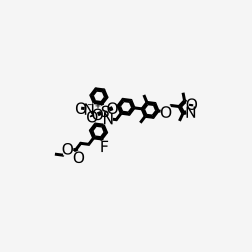 CCOC(=O)CCc1ccc(N(Cc2cccc(-c3c(C)cc(OCc4c(C)noc4C)cc3C)c2)S(=O)(=O)c2ccccc2[N+](=O)[O-])cc1F